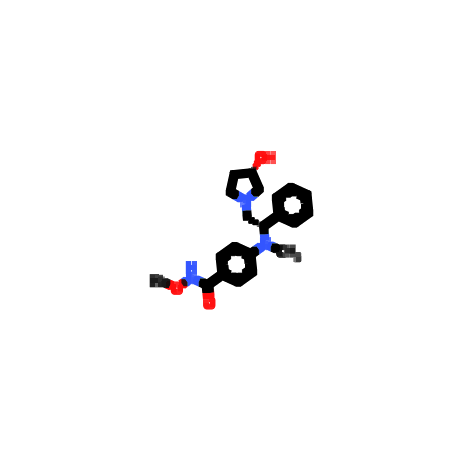 CCONC(=O)c1ccc(N(C)[C@H](CN2CC[C@H](O)C2)c2ccccc2)cc1